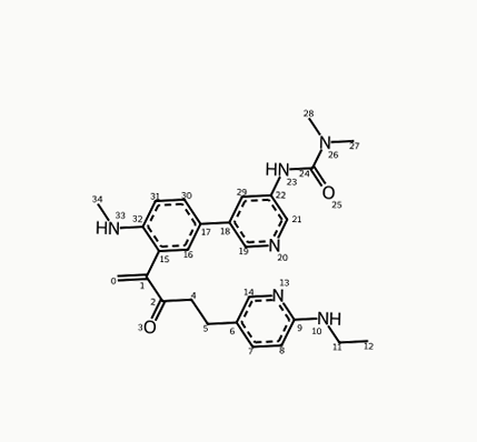 C=C(C(=O)CCc1ccc(NCC)nc1)c1cc(-c2cncc(NC(=O)N(C)C)c2)ccc1NC